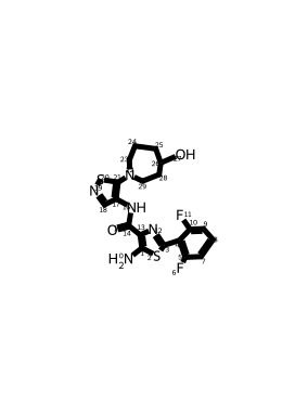 Nc1sc(-c2c(F)cccc2F)nc1C(=O)Nc1cnsc1N1CCCC(O)CC1